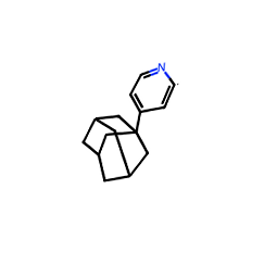 [c]1cc(C23CC4CC(CC(C4)C2)C3)ccn1